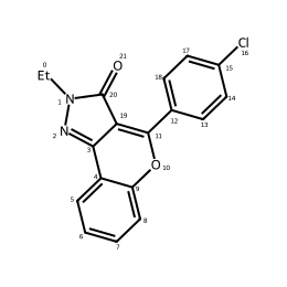 [CH2]Cn1nc2c3ccccc3oc(-c3ccc(Cl)cc3)c-2c1=O